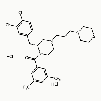 Cl.Cl.O=C(c1cc(C(F)(F)F)cc(C(F)(F)F)c1)N1CCN(CCCN2CCSCC2)C[C@H]1Cc1ccc(Cl)c(Cl)c1